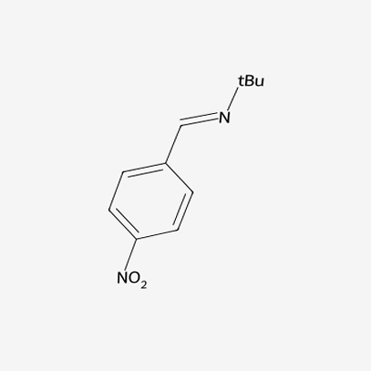 CC(C)(C)/N=C/c1ccc([N+](=O)[O-])cc1